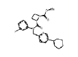 CC(C)(C)OC(=O)N1CC[C@@H]1C(=O)N(Cc1ccc(C2CCCCC2)cn1)c1cccc(F)c1